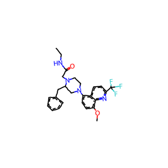 CCNC(=O)CN1CCN(c2ccc(OC)c3nc(C(F)(F)F)ccc23)CC1Cc1ccccc1